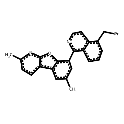 Cc1cc(-c2nccc3c(CC(C)C)cccc23)c2oc3nc(C)ccc3c2c1